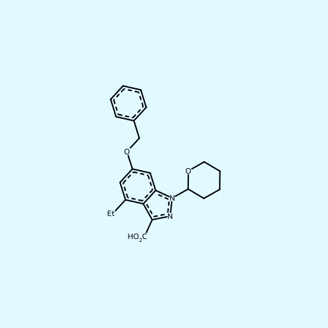 CCc1cc(OCc2ccccc2)cc2c1c(C(=O)O)nn2C1CCCCO1